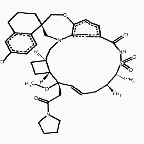 CO[C@@]1(CC(=O)N2CCCC2)/C=C/C[C@H](C)[C@@H](C)S(=O)(=O)NC(=O)c2ccc3c(c2)N(C[C@@H]2CC[C@H]21)C[C@@]1(CCCc2cc(Cl)ccc21)CO3